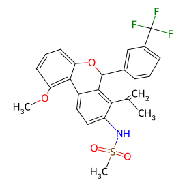 C=C(C)c1c(NS(C)(=O)=O)ccc2c1C(c1cccc(C(F)(F)F)c1)Oc1cccc(OC)c1-2